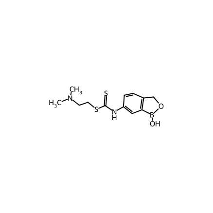 CN(C)CCSC(=S)Nc1ccc2c(c1)B(O)OC2